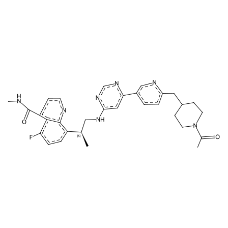 CNC(=O)c1ccnc2c([C@H](C)CNc3cc(-c4ccc(CC5CCN(C(C)=O)CC5)nc4)ncn3)ccc(F)c12